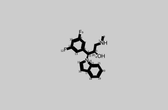 CNC[C@@H](O)[C@H](c1cc(F)cc(F)c1)n1ccc2ccccc21